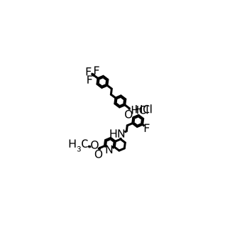 CCOC(=O)c1ccc2c(n1)CCCC2NCCc1cc(F)ccc1OCc1ccc(CCc2ccc(C(F)(F)F)cc2)cc1.Cl.Cl